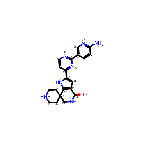 Nc1ccc(-c2nccc(-c3cc4c([nH]3)C3(CCNCC3)CNC4=O)n2)cn1